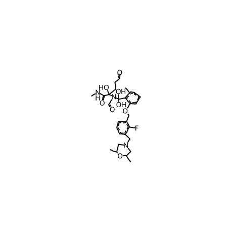 CNC(=O)C(O)(CCC=O)N(C=O)C(O)(O)c1c(C)cccc1OCc1cccc(CN2CC(C)OC(C)C2)c1F